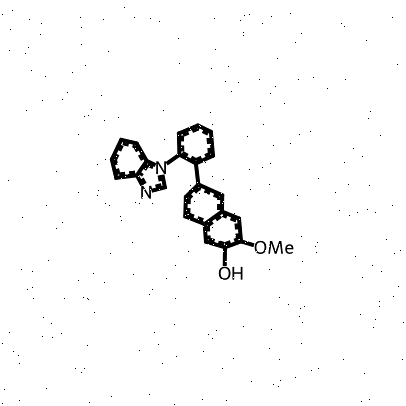 COc1cc2cc(-c3ccccc3-n3cnc4ccccc43)ccc2cc1O